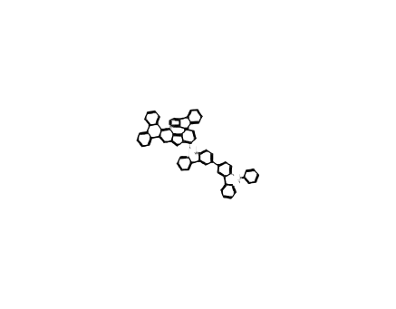 C1=CC2(C3=c4cc5c6ccccc6c6ccccc6c5cc4=CC3=C1n1c3ccccc3c3cc(-c4ccc5c(c4)c4ccccc4n5-c4ccccc4)ccc31)c1ccccc1-c1ccccc12